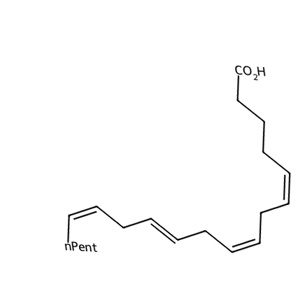 CCCCC/C=C\CC=CC/C=C\C/C=C\CCCC(=O)O